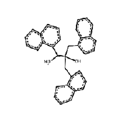 NC(c1cccc2ccccc12)C(O)(Cc1cccc2ccccc12)Cc1cccc2ccccc12